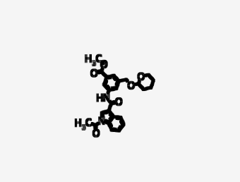 COC(=O)c1cc(COC2CCCCO2)cc(NC(=O)c2cn(C(C)=O)c3ccccc23)c1